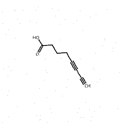 C#CC#CCCCC(=O)O